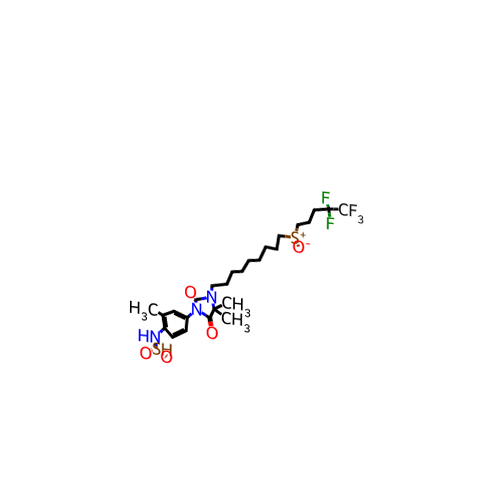 Cc1cc(N2C(=O)N(CCCCCCCCC[S+]([O-])CCCC(F)(F)C(F)(F)F)C(C)(C)C2=O)ccc1N[SH](=O)=O